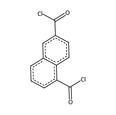 O=C(Cl)c1ccc2c(C(=O)Cl)cccc2c1